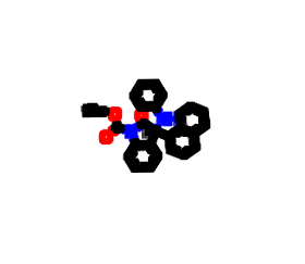 CC(C)(C)OC(=O)N1C(=O)[C@@](Nc2ccccc2)(c2cccc3ccccc23)c2ccccc21